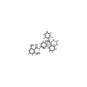 CC(C)c1cccc(C(C)C)c1NCc1cccc(-c2cccc3c2C(Nc2ccccc2)CCC3)n1